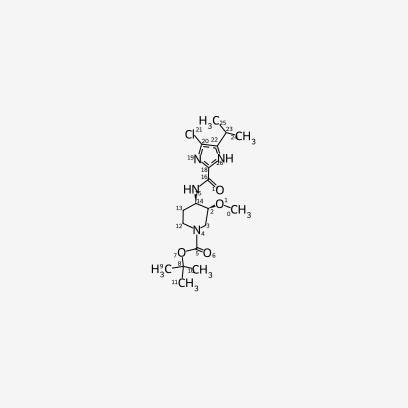 CO[C@H]1CN(C(=O)OC(C)(C)C)CC[C@H]1NC(=O)c1nc(Cl)c(C(C)C)[nH]1